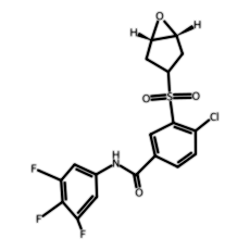 O=C(Nc1cc(F)c(F)c(F)c1)c1ccc(Cl)c(S(=O)(=O)C2C[C@@H]3O[C@@H]3C2)c1